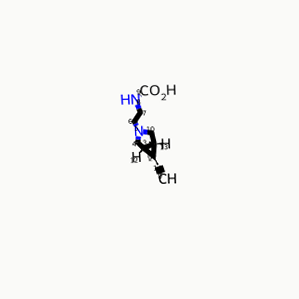 C#C[C@@H]1[C@H]2CN(CCNC(=O)O)C[C@@H]12